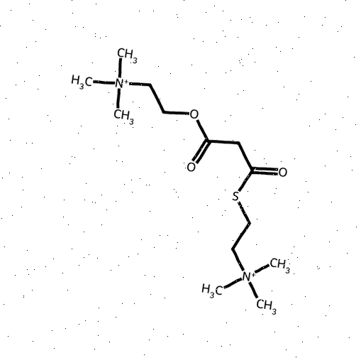 C[N+](C)(C)CCOC(=O)CC(=O)SCC[N+](C)(C)C